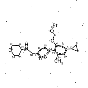 CCOCOc1cc(C2CC2)cc(C)c1-c1ccc(CNC2CCOCC2)nn1